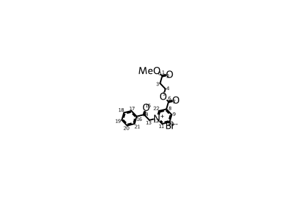 COC(=O)CCOC(=O)c1ccc[n+](CC(=O)c2ccccc2)c1.[Br-]